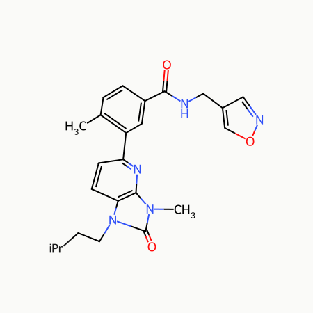 Cc1ccc(C(=O)NCc2cnoc2)cc1-c1ccc2c(n1)n(C)c(=O)n2CCC(C)C